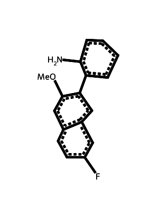 COc1cc2ccc(F)cc2cc1-c1ccccc1N